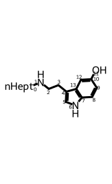 CCCCCCCNCCc1c[nH]c2ccc(O)cc12